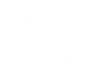 COc1cc(-c2ccc(C3CC3)cn2)cc(C(F)(F)F)c1